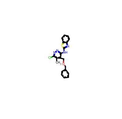 Cc1c(Cl)nnc(Nc2nc3ccccc3s2)c1COCc1ccccc1